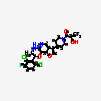 C[C@@H](Oc1c(N)ncc2c(C3=CCN(C(=O)[C@H](O)C(F)(F)F)CC3)coc12)c1c(Cl)ccc(F)c1Cl